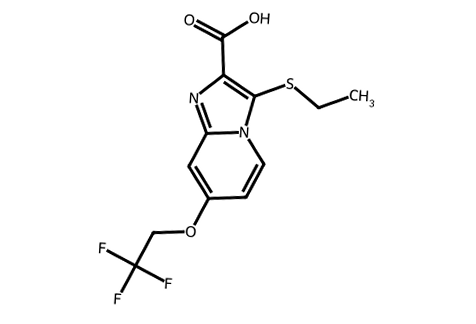 CCSc1c(C(=O)O)nc2cc(OCC(F)(F)F)ccn12